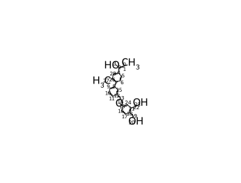 CC=C(O)c1ccc(-c2cccc(COc3ccc(CO)c(CO)c3)c2)c(C)c1